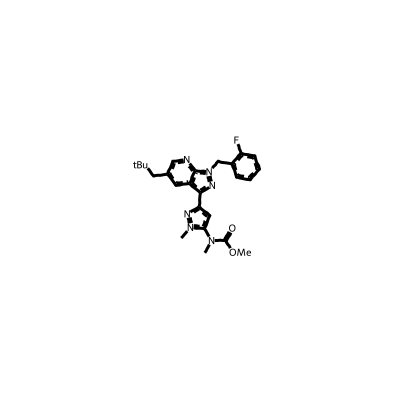 COC(=O)N(C)c1cc(-c2nn(Cc3ccccc3F)c3ncc(CC(C)(C)C)cc23)nn1C